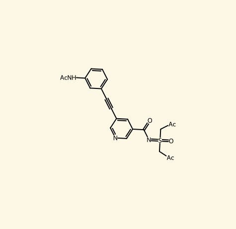 CC(=O)CS(=O)(CC(C)=O)=NC(=O)c1cncc(C#Cc2cccc(NC(C)=O)c2)c1